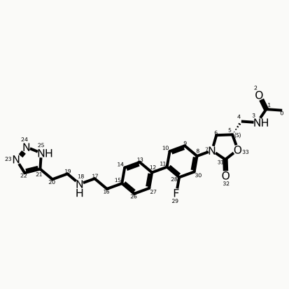 CC(=O)NC[C@H]1CN(c2ccc(-c3ccc(CCNCCc4cnn[nH]4)cc3)c(F)c2)C(=O)O1